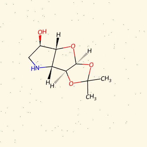 CC1(C)O[C@@H]2O[C@@H]3[C@@H](NC[C@H]3O)[C@@H]2O1